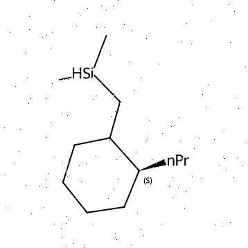 CCC[C@H]1CCCCC1C[SiH](C)C